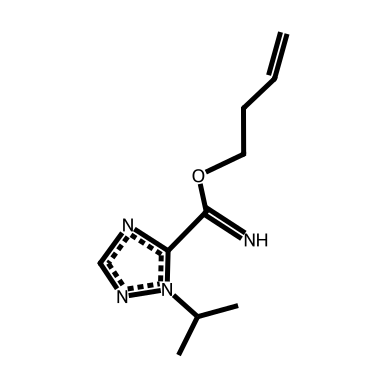 C=CCCOC(=N)c1ncnn1C(C)C